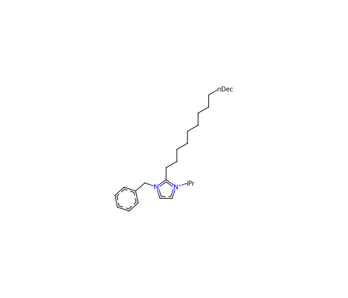 CCCCCCCCCCCCCCCCCCCc1n(Cc2ccccc2)cc[n+]1C(C)C